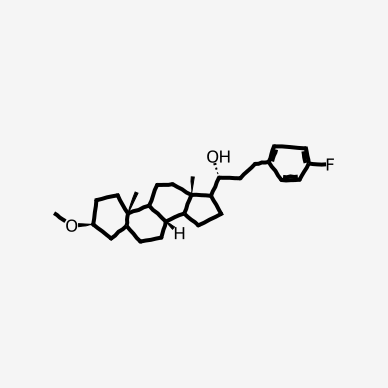 CO[C@H]1CC[C@@]2(C)C(CC[C@@H]3C2CC[C@@]2(C)C3CCC2[C@H](O)CCc2ccc(F)cc2)C1